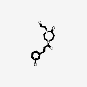 O=CCN1CCN(C(=O)C=Cc2cccc(Cl)c2)CCC1=O